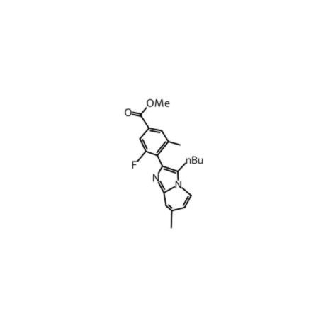 CCCCc1c(-c2c(C)cc(C(=O)OC)cc2F)nc2cc(C)ccn12